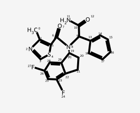 Cc1ncsc1C(=O)N(C(C(N)=O)c1ccccc1)[C@@H]1CCc2c(F)cc(F)cc21